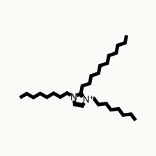 CCCCCCCCCCCc1n(CCCCCCCC)cc[n+]1CCCCCCCC